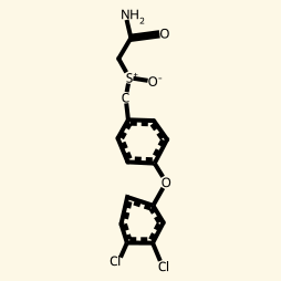 NC(=O)C[S+]([O-])Cc1ccc(Oc2ccc(Cl)c(Cl)c2)cc1